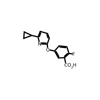 O=C(O)c1cc(Oc2cccc(C3CC3)n2)ccc1F